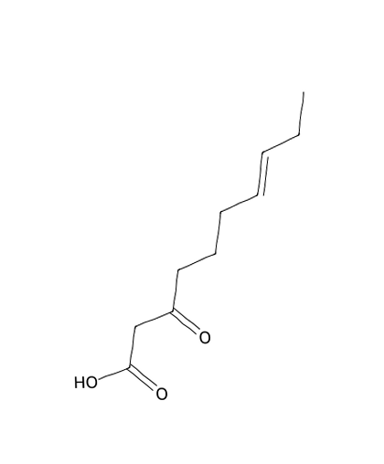 CCC=CCCCC(=O)CC(=O)O